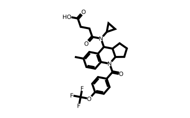 Cc1ccc2c(c1)C(N(C(=O)CCC(=O)O)C1CC1)C1CCCC1N2C(=O)c1ccc(OC(F)(F)F)cc1